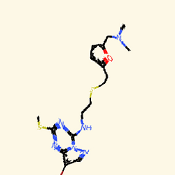 CSc1nc(NCCSCc2ccc(CN(C)C)o2)n2ncc(Br)c2n1